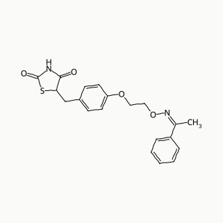 C/C(=N/OCCOc1ccc(CC2SC(=O)NC2=O)cc1)c1ccccc1